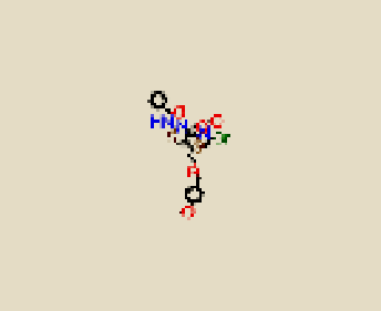 COCOC[C@]1(c2nc(Br)cs2)N=C(NC(=O)c2ccccc2)SC[C@@H]1CCCOCc1ccc(OC)cc1